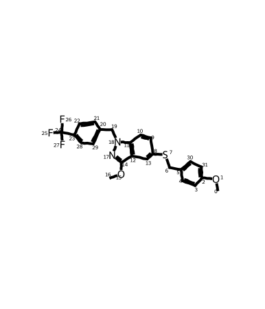 COc1ccc(CSc2ccc3c(c2)c(OC)nn3Cc2ccc(C(F)(F)F)cc2)cc1